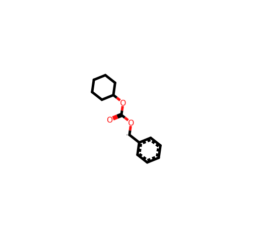 O=C(O[CH]c1ccccc1)OC1CCCCC1